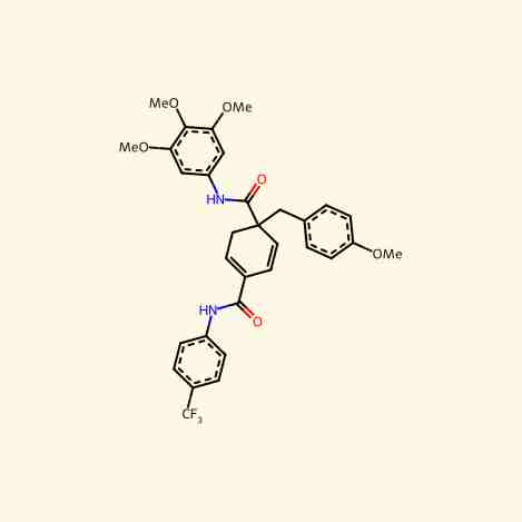 COc1ccc(CC2(C(=O)Nc3cc(OC)c(OC)c(OC)c3)C=CC(C(=O)Nc3ccc(C(F)(F)F)cc3)=CC2)cc1